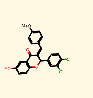 COc1ccc(C=C2C(=O)c3cc(O)ccc3OC2c2ccc(Cl)c(Cl)c2)cc1